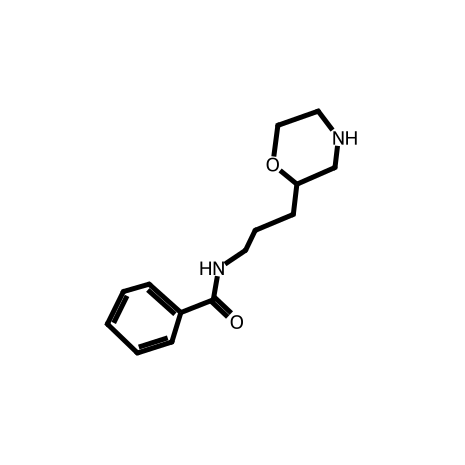 O=C(NCCCC1CNCCO1)c1ccccc1